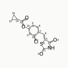 O=C1NC(=O)C(=Cc2ccc(OC(=O)C3CC3)cc2Cl)S1